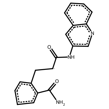 NC(=O)c1ccccc1C[CH]C(=O)Nc1cnc2ccccc2c1